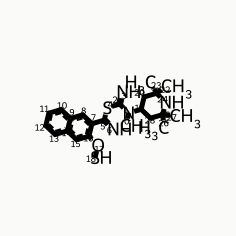 CN(C(=N)SC(=N)c1cc2ccccc2cc1OS)C1CC(C)(C)NC(C)(C)C1